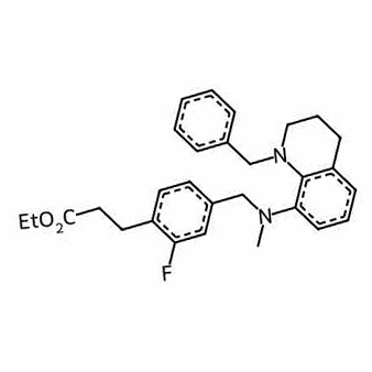 CCOC(=O)CCc1ccc(CN(C)c2cccc3c2N(Cc2ccccc2)CCC3)cc1F